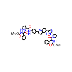 COC(=O)N[C@@H](C(=O)N1CCC[C@H]1C(=O)Nc1ccc(-c2ccc3cc(-c4cnc([C@@H]5CCCN5C(=O)[C@H](NC(=O)OC)c5ccccc5)[nH]4)ccc3n2)cc1)c1ccccc1